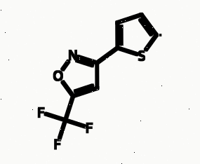 FC(F)(F)c1cc(-c2cc[c]s2)no1